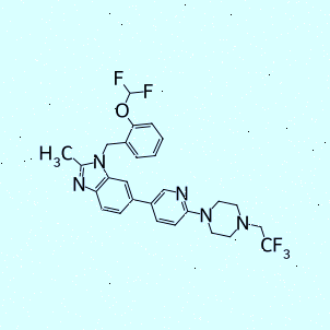 Cc1nc2ccc(-c3ccc(N4CCN(CC(F)(F)F)CC4)nc3)cc2n1Cc1ccccc1OC(F)F